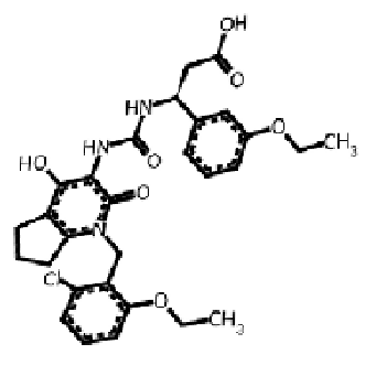 CCOc1cccc([C@H](CC(=O)O)NC(=O)Nc2c(O)c3c(n(Cc4c(Cl)cccc4OCC)c2=O)CCC3)c1